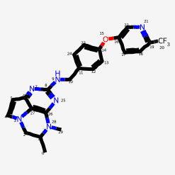 CC1Cn2ccc3nc(NCc4ccc(Oc5ccc(C(F)(F)F)nc5)cc4)nc(c32)N1C